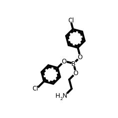 NCCOB(Oc1ccc(Cl)cc1)Oc1ccc(Cl)cc1